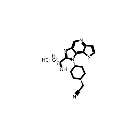 C[C@@H](O)c1nc2cnc3ccsc3c2n1[C@H]1CC[C@H](CC#N)CC1.Cl